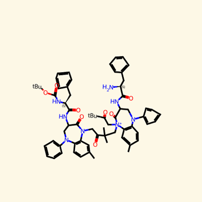 Cc1ccc2c(c1)N(CC(=O)C(C)(C)C[N+]1(CC(=O)C(C)(C)C)C(=O)C(NC(=O)[C@@H](N)Cc3ccccc3)CN(c3ccccc3)c3ccc(C)cc31)C(=O)C(NC(=O)[C@H](Cc1ccccc1)NC(=O)OC(C)(C)C)CN2c1ccccc1